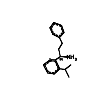 CC(C)c1ccc[c]c1[C@H](N)CCc1ccccc1